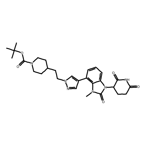 Cn1c(=O)n(C2CCC(=O)NC2=O)c2cccc(-c3cnn(CCC4CCN(C(=O)OC(C)(C)C)CC4)c3)c21